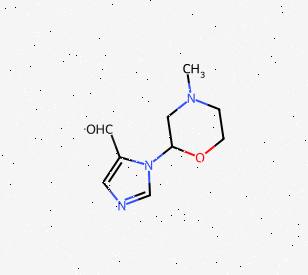 CN1CCOC(n2cncc2[C]=O)C1